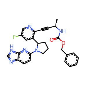 C[C@H](C#Cc1ncc(F)cc1C1CCCN1c1ccc2nc[nH]c2n1)NC(=O)OCc1ccccc1